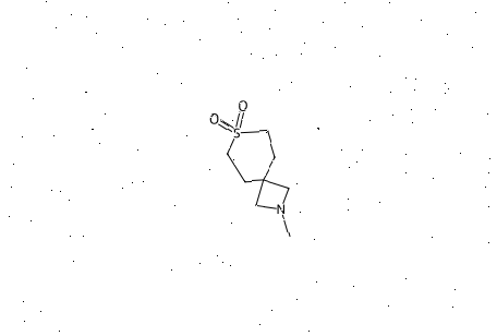 CN1CC2(CCS(=O)(=O)CC2)C1